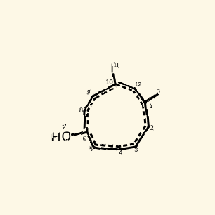 Cc1ccccc(O)ccc(I)c1